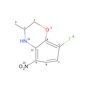 CC1COc2c(F)ccc([N+](=O)[O-])c2N1